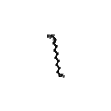 CCCCCCCCCC=C[SiH3]